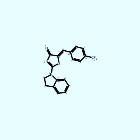 O=C1N=C(N2CCc3ccccc32)S/C1=C\c1ccc(C(F)(F)F)cc1